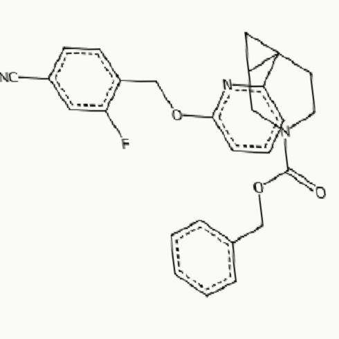 N#Cc1ccc(COc2cccc(C34CCN(C(=O)OCc5ccccc5)CC3C4)n2)c(F)c1